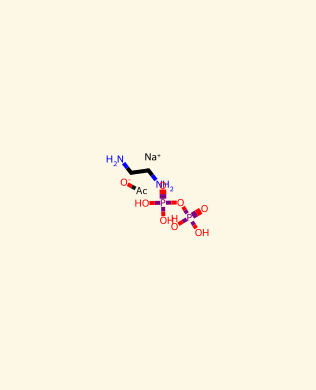 CC(=O)[O-].NCCN.O=P(O)(O)OP(=O)(O)O.[Na+]